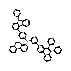 c1ccc(-c2c(-c3ccccc3)c3cc(-c4cccc(N(c5ccc(-c6cccc7c6c6ccccc6n7-c6ccccc6)cc5)c5cccc6c5ccc5ccccc56)c4)ccc3c3ccccc23)cc1